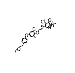 CCOCCc1ccc(Oc2cc(C)c(OCCSc3cnn(C(C)(C)C)c(=O)c3Cl)c(Cl)c2)cc1